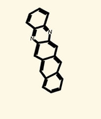 c1ccc2cc3cc4nc5ccccc5nc4cc3cc2c1